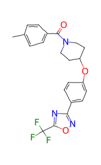 Cc1ccc(C(=O)N2CCC(Oc3ccc(-c4noc(C(F)(F)F)n4)cc3)CC2)cc1